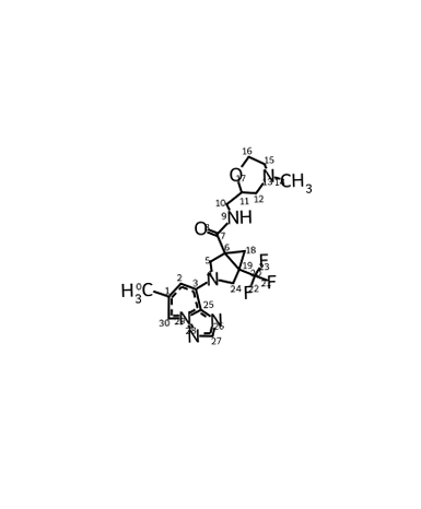 Cc1cc(N2CC3(C(=O)NCC4CN(C)CCO4)CC3(C(F)(F)F)C2)c2ncnn2c1